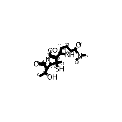 CC(O)C1C(=O)N2C(C(=O)O)=C(C3CCC(C(=O)N(C)C)N3)C(C)(S)C12